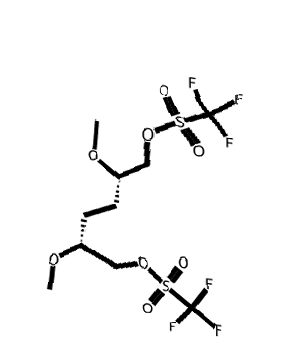 CO[C@H](CC[C@@H](COS(=O)(=O)C(F)(F)F)OC)COS(=O)(=O)C(F)(F)F